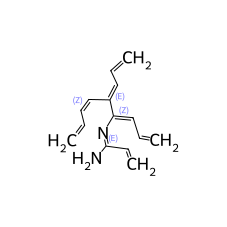 C=C\C=C/C(=C\C=C)C(=C/C=C)/N=C(/N)C=C